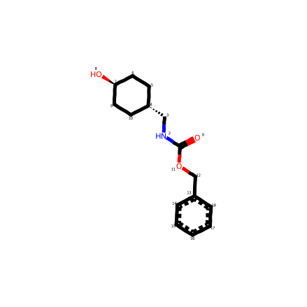 O=C(NC[C@H]1CC[C@H](O)CC1)OCc1ccccc1